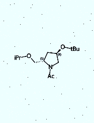 CC(=O)N1C[C@H](OC(C)(C)C)C[C@H]1COC(C)C